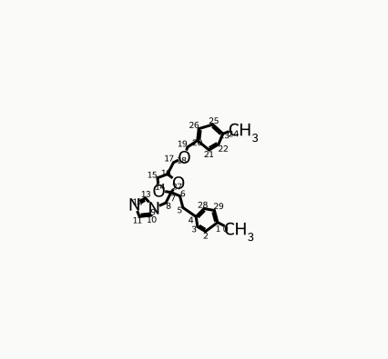 Cc1ccc(CCC2(Cn3ccnc3)OCC(COCc3ccc(C)cc3)O2)cc1